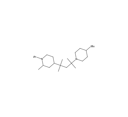 CC(C)N1CCC(C(C)(C)CC(C)(C)N2CCC(C(C)(C)C)CC2)CC1C